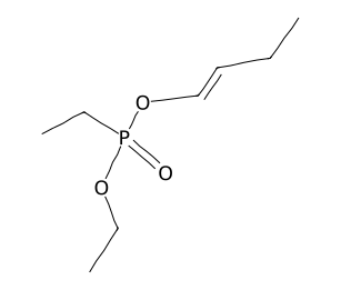 CCC=COP(=O)(CC)OCC